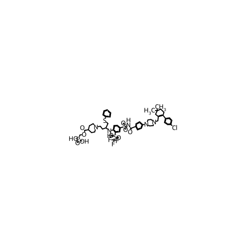 CC1(C)CCC(c2ccc(Cl)cc2)=C(CN2CCN(c3ccc(C(=O)NS(=O)(=O)c4ccc(NC(CCN5CCC(C(=O)OCP(=O)(O)O)CC5)CSc5ccccc5)c(S(=O)(=O)C(F)(F)F)c4)cc3)CC2)C1